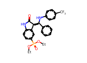 CCOP(=O)(OCC)c1ccc2c(c1)/C(=C(/Nc1ccc(C(F)(F)F)cc1)c1ccccc1)C(=O)N2